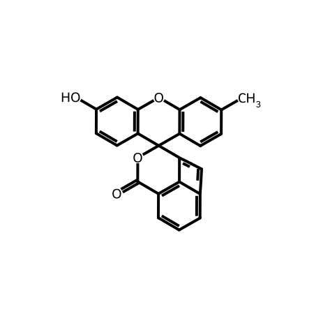 Cc1ccc2c(c1)Oc1cc(O)ccc1C21OC(=O)c2cccc3cccc1c23